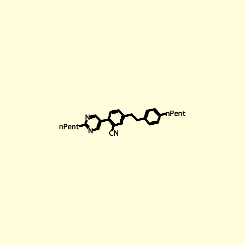 CCCCCc1ccc(CCc2ccc(-c3cnc(CCCCC)nc3)c(C#N)c2)cc1